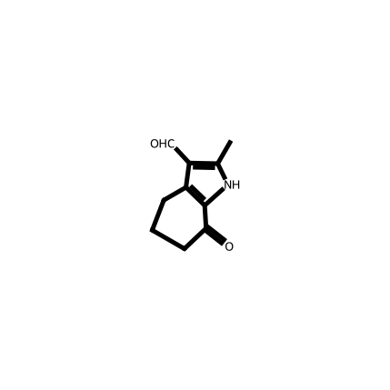 Cc1[nH]c2c(c1C=O)CCCC2=O